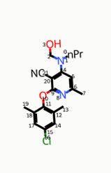 CCCN(CO)c1cc(C)nc(Oc2c(C)cc(Cl)cc2C)c1C#N